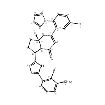 CC(=O)Nc1nccc(-c2cnc(C3CC[C@@H]4CC(c5cc(Cl)ccc5-n5cnnn5)=CC(=O)N34)[nH]2)c1F